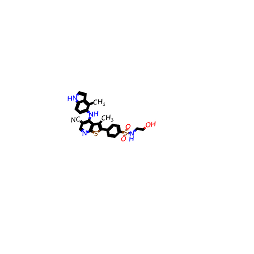 Cc1c(Nc2c(C#N)cnc3sc(-c4ccc(S(=O)(=O)NCCO)cc4)c(C)c23)ccc2[nH]ccc12